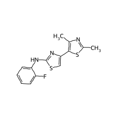 Cc1nc(C)c(-c2csc(Nc3ccccc3F)n2)s1